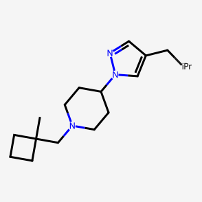 CC(C)Cc1cnn(C2CCN(CC3(C)CCC3)CC2)c1